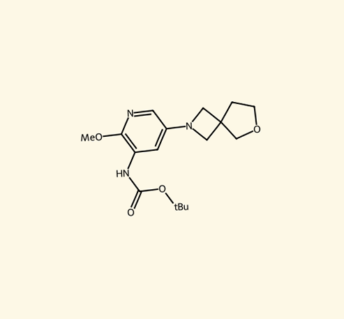 COc1ncc(N2CC3(CCOC3)C2)cc1NC(=O)OC(C)(C)C